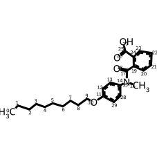 CCCCCCCCCCOc1ccc(N(C)C(=O)c2ccccc2C(=O)O)cc1